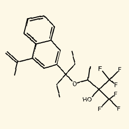 C=C(C)c1cc(C(CC)(CC)OC(C)C(O)(C(F)(F)F)C(F)(F)F)cc2ccccc12